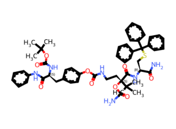 CC(C)(C)OC(=O)N[C@@H](Cc1ccc(OC(=O)NCC[C@@](OC(N)=O)(C(=O)N[C@@H](CSC(c2ccccc2)(c2ccccc2)c2ccccc2)C(N)=O)C(C)(C)C)cc1)C(=O)Nc1ccccc1